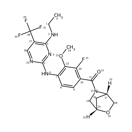 CCNc1nc(Nc2ccc(C(=O)N3C[C@@H]4C[C@H]3CO4)c(F)c2OC)ncc1C(F)(F)F